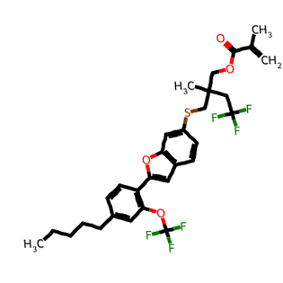 C=C(C)C(=O)OCC(C)(CSc1ccc2cc(-c3ccc(CCCCC)cc3OC(F)(F)F)oc2c1)CC(F)(F)F